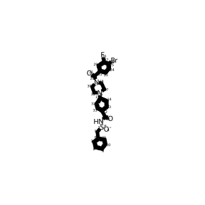 O=C(N[S+]([O-])Cc1ccccc1)c1ccc(N2CCN(C(=O)c3ccc(Br)c(F)c3)CC2)cc1